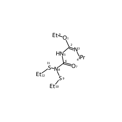 CCOC(=NC(C)C)NC(=O)N(SCC)SCC